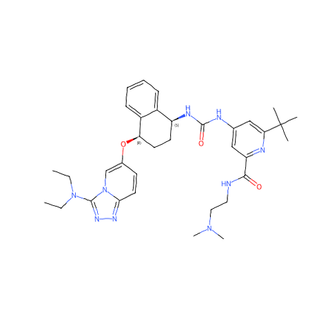 CCN(CC)c1nnc2ccc(O[C@@H]3CC[C@H](NC(=O)Nc4cc(C(=O)NCCN(C)C)nc(C(C)(C)C)c4)c4ccccc43)cn12